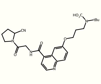 CC(C)(C)N(CCCOc1ccc2nccc(C(=O)NCC(=O)N3CCCC3C#N)c2c1)C(=O)O